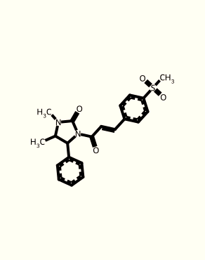 CC1C(c2ccccc2)N(C(=O)/C=C/c2ccc(S(C)(=O)=O)cc2)C(=O)N1C